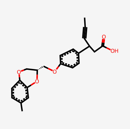 CC#CC(CC(=O)O)c1ccc(OC[C@H]2COc3ccc(C)cc3O2)cc1